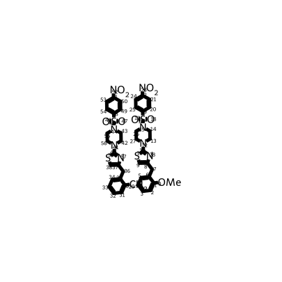 COc1ccccc1Cc1csc(N2CCN(S(=O)(=O)c3ccc([N+](=O)[O-])cc3)CC2)n1.Cc1ccccc1Cc1csc(N2CCN(S(=O)(=O)c3ccc([N+](=O)[O-])cc3)CC2)n1